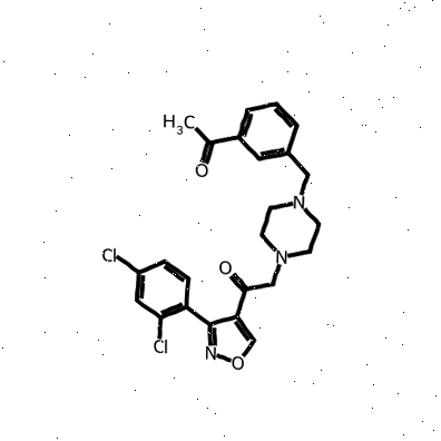 CC(=O)c1cccc(CN2CCN(CC(=O)c3conc3-c3ccc(Cl)cc3Cl)CC2)c1